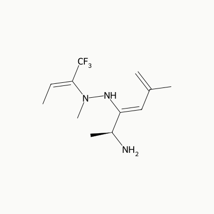 C=C(C)/C=C(\NN(C)/C(=C\C)C(F)(F)F)[C@H](C)N